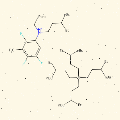 CCCCC(CC)CC[NH+](CC(C)CCC)c1cc(F)c(F)c(C(F)(F)F)c1F.CCCCC(CC)C[CH2][Al-]([CH2]CC(CC)CCCC)([CH2]CC(CC)CCCC)[CH2]CC(CC)CCCC